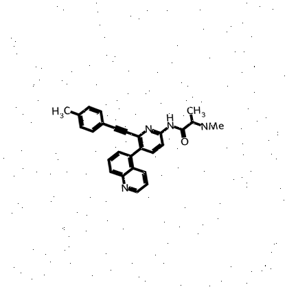 CNC(C)C(=O)Nc1ccc(-c2cccc3ncccc23)c(C#Cc2ccc(C)cc2)n1